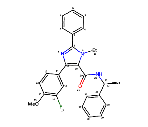 CCn1c(-c2ccccc2)nc(-c2ccc(OC)c(F)c2)c1C(=O)N[C@@H](C)c1ccccc1